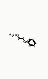 COCCOc1[c]c[c]cc1